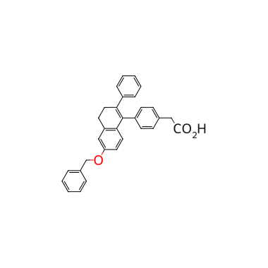 O=C(O)Cc1ccc(C2=C(c3ccccc3)CCc3cc(OCc4ccccc4)ccc32)cc1